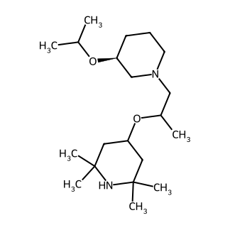 CC(C)O[C@H]1CCCN(CC(C)OC2CC(C)(C)NC(C)(C)C2)C1